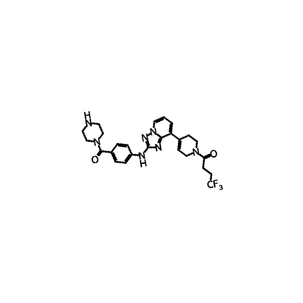 O=C(CCC(F)(F)F)N1CC=C(c2cccn3nc(Nc4ccc(C(=O)N5CCNCC5)cc4)nc23)CC1